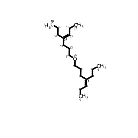 CCC=C(CCC)CCCOCCCC(=CCC)CCC